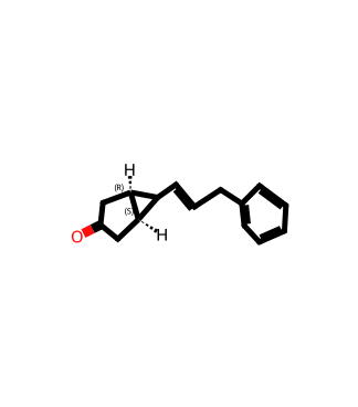 O=C1C[C@@H]2C(C=CCc3ccccc3)[C@@H]2C1